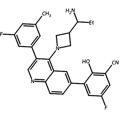 CCC(N)C1CN(c2c(-c3cc(C)cc(F)c3)cnc3ccc(-c4cc(F)cc(C#N)c4O)cc23)C1